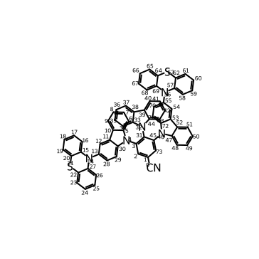 N#Cc1cc(-n2c3ccccc3c3cc(N4c5ccccc5Sc5ccccc54)ccc32)c(-n2c3ccccc3c3ccccc32)c(-n2c3ccccc3c3cc(N4c5ccccc5Sc5ccccc54)ccc32)c1